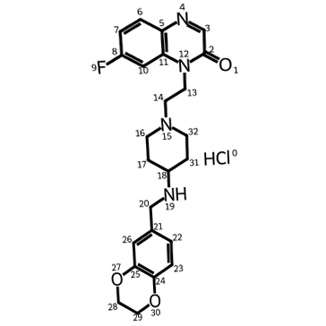 Cl.O=c1cnc2ccc(F)cc2n1CCN1CCC(NCc2ccc3c(c2)OCCO3)CC1